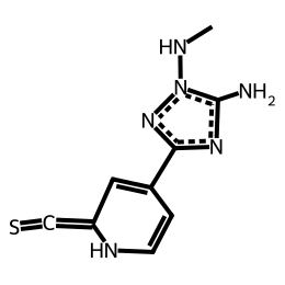 CNn1nc(C2=CC(=C=S)NC=C2)nc1N